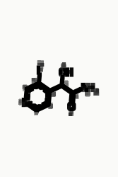 NC(=O)C(O)c1ccncc1F